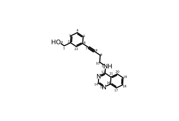 OCc1cccc(C#CCCNc2ncnc3ccccc23)c1